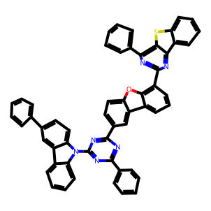 c1ccc(-c2ccc3c(c2)c2ccccc2n3-c2nc(-c3ccccc3)nc(-c3ccc4oc5c(-c6nc(-c7ccccc7)c7sc8ccccc8c7n6)cccc5c4c3)n2)cc1